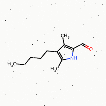 CCCCCc1c(C)[nH]c(C=O)c1C